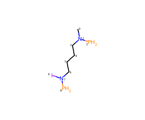 CN(P)CCCCN(P)I